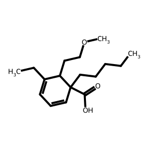 CCCCCC1(C(=O)O)C=CC=C(CC)C1CCOC